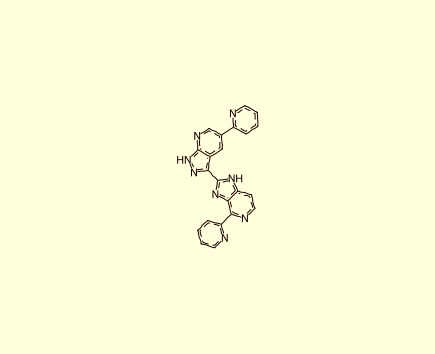 c1ccc(-c2cnc3[nH]nc(-c4nc5c(-c6ccccn6)nccc5[nH]4)c3c2)nc1